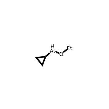 CCO[AsH]C1CC1